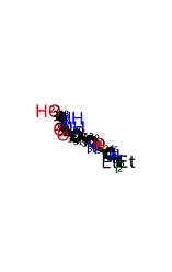 CCC(F)(CC)CN1CCC(COc2ccc(-c3ccc(C(=O)NC(=O)[C@@H]4C[C@@H](O)CN4)cc3)cn2)CC1